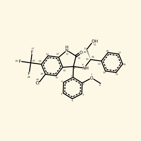 COc1ccccc1C1(N[C@H](CO)c2ccccc2)C(=O)Nc2cc(C(F)(F)F)c(Cl)cc21